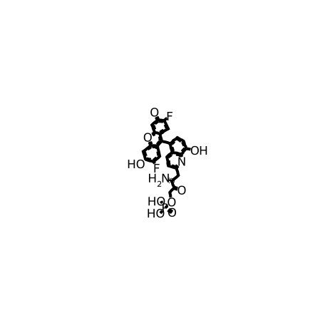 N[C@@H](Cc1ccc2c(-c3c4cc(F)c(=O)cc-4oc4cc(O)c(F)cc34)ccc(O)c2n1)C(=O)COP(=O)(O)O